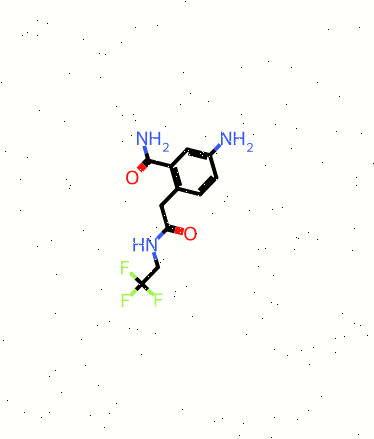 NC(=O)c1cc(N)ccc1CC(=O)NCC(F)(F)F